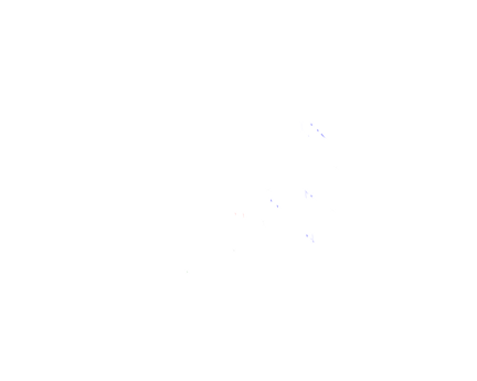 Cn1c(N2CCC3(CC[C@@H]3N)CC2)ncc(Sc2cccc(Cl)c2Cl)c1=O